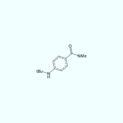 CNC(=O)c1ccc(NC(C)(C)C)cc1